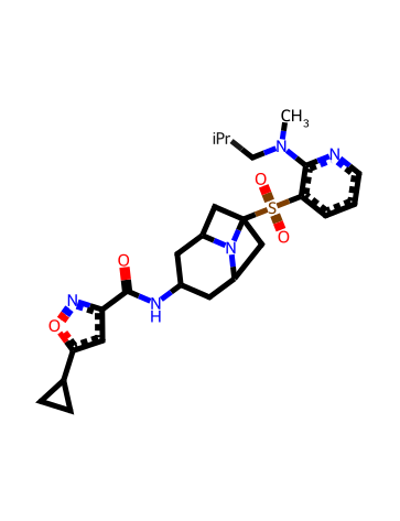 CC(C)CN(C)c1ncccc1S(=O)(=O)C12CC3CC(NC(=O)c4cc(C5CC5)on4)CC(C1)N32